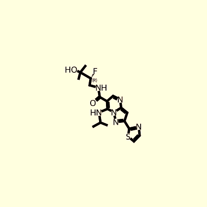 CC(C)Nc1c(C(=O)NC[C@@H](F)C(C)(C)O)cnc2cc(-c3nccs3)nn12